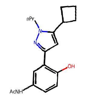 CCCn1nc(-c2cc(NC(C)=O)ccc2O)cc1C1CCC1